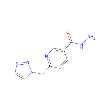 NNC(=O)c1ccc(Cn2ccnn2)nc1